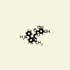 Cn1cc(/C=C2\Oc3cc(O)cc(O)c3C2=O)c2c(-c3ccccc3N)cccc21